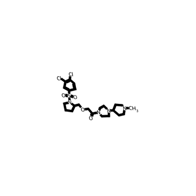 CN1CCC(N2CCN(C(=O)COCC3CCCN3S(=O)(=O)c3ccc(Cl)c(Cl)c3)CC2)CC1